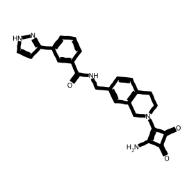 Nc1c(N2CCc3ccc(CNC(=O)c4cccc(-c5cc[nH]n5)c4)cc3C2)c(=O)c1=O